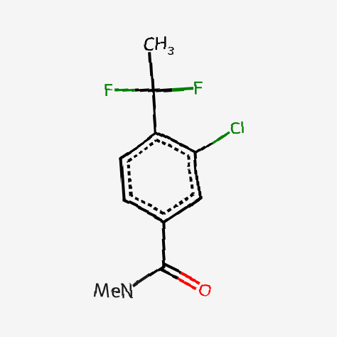 CNC(=O)c1ccc(C(C)(F)F)c(Cl)c1